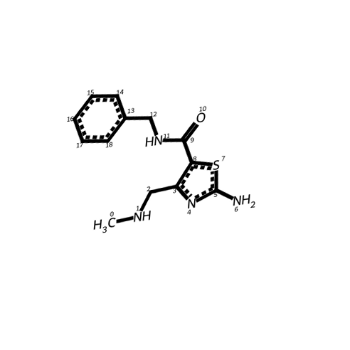 CNCc1nc(N)sc1C(=O)NCc1ccccc1